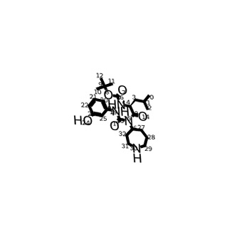 CC(C)C[C@H](NC(=O)OC(C)(C)C)C(=O)N(C(=O)Nc1cccc(O)c1)C1CCCNCC1